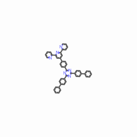 c1ccc(-c2ccc(-c3nc(-c4ccc(-c5ccccc5)cc4)nc(-c4ccc(-c5cc(-c6ccccn6)nc(-c6ccccn6)c5)cc4)n3)cc2)cc1